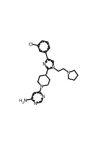 Nc1cc(N2CCC(c3nc(-c4cccc(Cl)c4)cn3CCN3CCCC3)CC2)ncn1